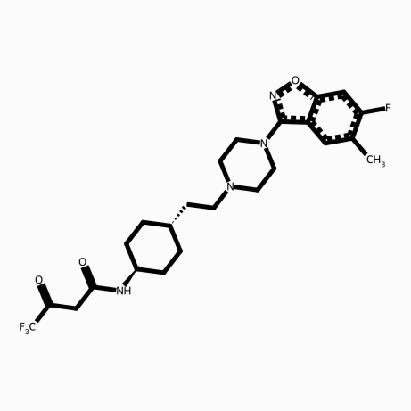 Cc1cc2c(N3CCN(CC[C@H]4CC[C@H](NC(=O)CC(=O)C(F)(F)F)CC4)CC3)noc2cc1F